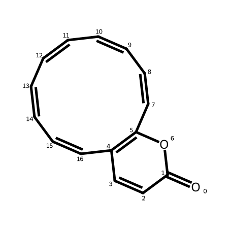 O=c1ccc2c(o1)\C=C/C=C\C=C/C=C\C=C/2